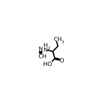 C#N.CCC(N)C(=O)O